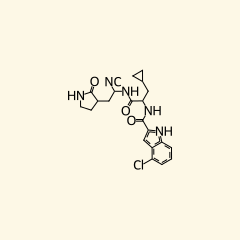 N#CC(CC1CCNC1=O)NC(=O)C(CC1CC1)NC(=O)c1cc2c(Cl)cccc2[nH]1